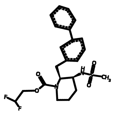 CS(=O)(=O)N[C@H]1CCCN(C(=O)OCC(F)F)[C@H]1Cc1cccc(-c2ccccc2)c1